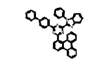 c1ccc(-c2ccc(-c3nc(-c4cccc5c6ccccc6c6ccccc6c45)nc(-c4nc5ccccc5n4-c4ccccc4)n3)cc2)cc1